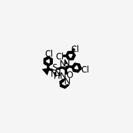 O=C(Nc1ccccn1)c1c(-c2nnc(C3(c4ccc(Cl)cc4)CC3)s2)nn(-c2ccc(Cl)cc2Cl)c1-c1ccc(Cl)cc1